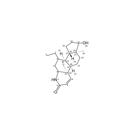 CCC1CC2NC(=O)C=C[C@]2(C)[C@@H]2CC[C@]3(C)C(O)CC[C@H]3[C@H]12